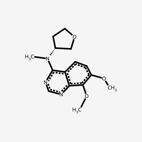 COc1ccc2c(N(C)[C@@H]3CCOC3)ncnc2c1OC